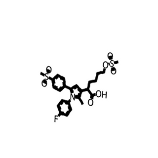 Cc1c(C(CCCCOS(C)(=O)=O)C(=O)O)cc(-c2ccc(S(C)(=O)=O)cc2)n1-c1ccc(F)cc1